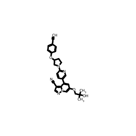 C#Cc1ccc(OC2CCN(c3ccc(-c4cc(OCC(C)(C)O)cn5ncc(C#N)c45)cn3)C2)cc1